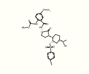 Cc1ccc(S(=O)(=O)C[C@H]2C[C@H](N(C)C(C)C)CC[C@@H]2N2CC[C@H](NC(=O)c3cc(OC(F)(F)F)ccc3NC(=O)OC(C)(C)C)C2=O)cc1